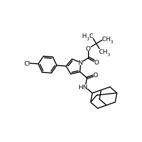 CC(C)(C)OC(=O)n1cc(-c2ccc(Cl)cc2)cc1C(=O)NC1C2CC3CC(C2)CC1C3